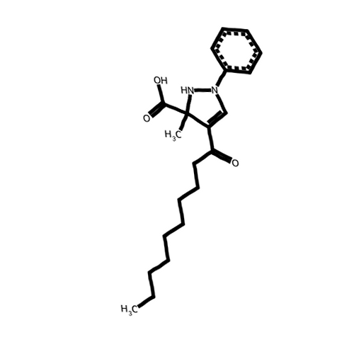 CCCCCCCCCC(=O)C1=CN(c2ccccc2)NC1(C)C(=O)O